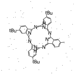 Cc1ccc2c(c1)-c1nc-2nc2[nH]c(nc3nc(nc4[nH]c(n1)c1ccc(C(C)(C)C)cc41)-c1ccc(C(C)(C)C)cc1-3)c1ccc(C(C)(C)C)cc21